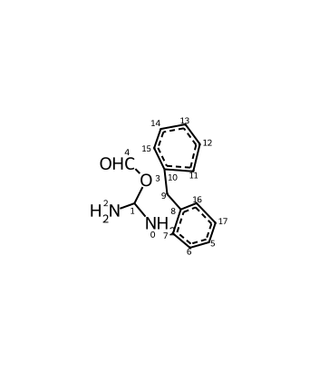 NC(N)OC=O.c1ccc(Cc2ccccc2)cc1